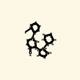 Cc1ccccc1-n1ccc(=O)c(-c2ccnn2-c2ccccc2)n1